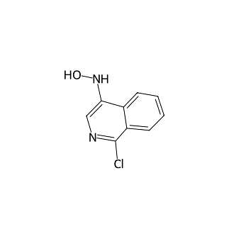 ONc1cnc(Cl)c2ccccc12